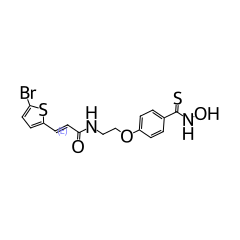 O=C(/C=C/c1ccc(Br)s1)NCCOc1ccc(C(=S)NO)cc1